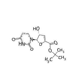 CC(C)(C)OC(=O)C1=C[C@@H](O)[C@H](n2ccc(=O)[nH]c2=O)O1